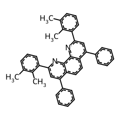 Cc1cccc(-c2cc(-c3ccccc3)c3ccc4c(-c5ccccc5)cc(-c5cccc(C)c5C)nc4c3n2)c1C